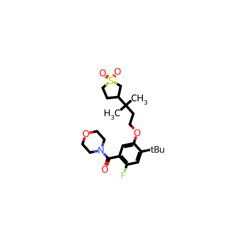 CC(C)(C)c1cc(F)c(C(=O)N2CCOCC2)cc1OCCC(C)(C)C1CCS(=O)(=O)C1